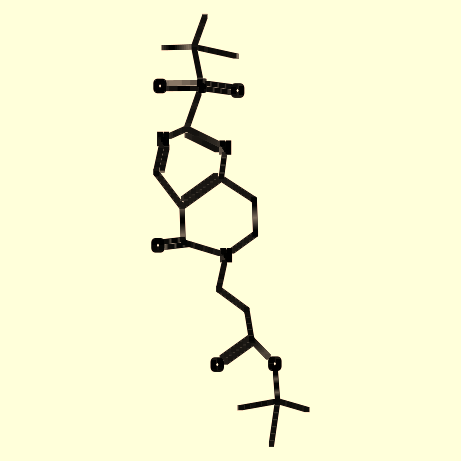 CC(C)(C)OC(=O)CCN1CCc2nc(S(=O)(=O)C(C)(C)C)ncc2C1=O